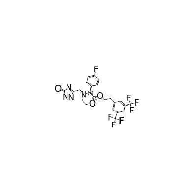 O=C1N=NC(CN2CCO[C@@H](OCCc3cc(C(F)(F)F)cc(C(F)(F)F)c3)[C@@H]2c2ccc(F)cc2)=N1